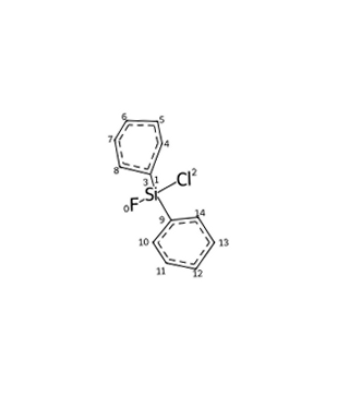 F[Si](Cl)(c1ccccc1)c1ccccc1